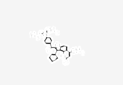 Cc1cc(=O)oc2c1ccc1oc(C(=O)c3ccc(N(C)C)cc3)c(-c3ccccc3)c12